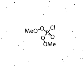 COOP(=O)(Cl)OOC